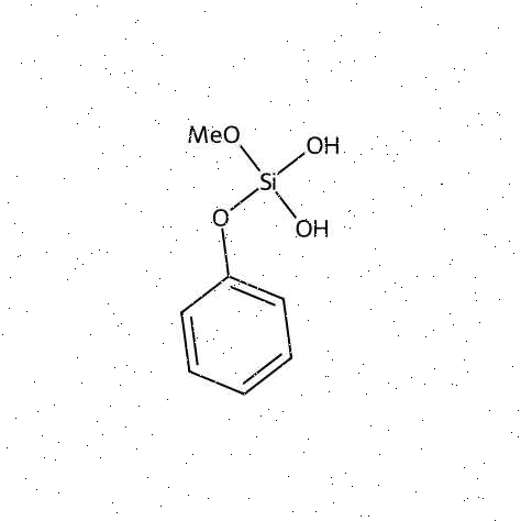 CO[Si](O)(O)Oc1ccccc1